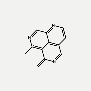 C=c1ncc2ccnc3cnc(C)c1c23